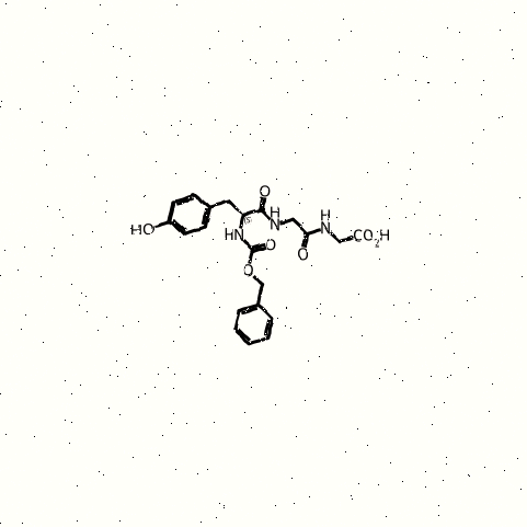 O=C(O)CNC(=O)CNC(=O)[C@H](Cc1ccc(O)cc1)NC(=O)OCc1ccccc1